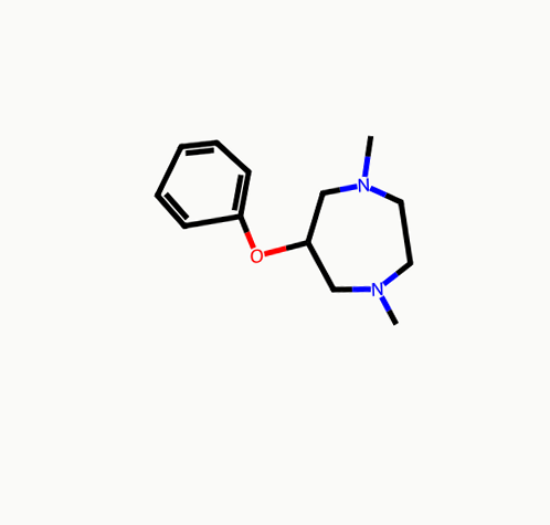 CN1CCN(C)CC(Oc2ccccc2)C1